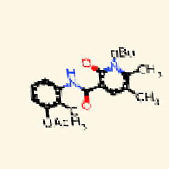 CCCCn1c(C)c(C)cc(C(=O)Nc2cccc(OC(C)=O)c2C)c1=O